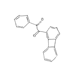 O=C(C(=O)c1cccc2c1-c1ccccc1-2)c1ccccc1